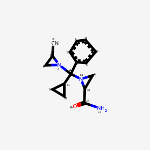 N#CC1CN1C(c1ccccc1)(C1CC1)N1CC1C(N)=O